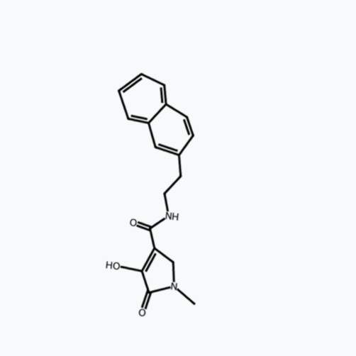 CN1CC(C(=O)NCCc2ccc3ccccc3c2)=C(O)C1=O